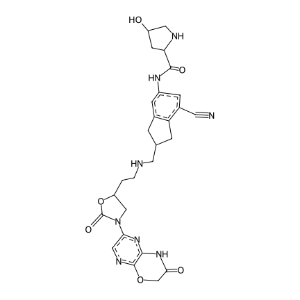 N#Cc1cc(NC(=O)C2CC(O)CN2)cc2c1CC(CNCCC1CN(c3cnc4c(n3)NC(=O)CO4)C(=O)O1)C2